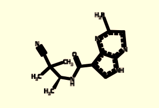 Bc1cnc2[nH]cc(C(=O)N[C@@H](C)C(C)(C)C#N)c2n1